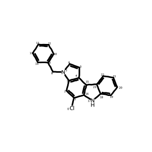 Clc1cc2c(ccn2Cc2ccccc2)c2c1[nH]c1ccccc12